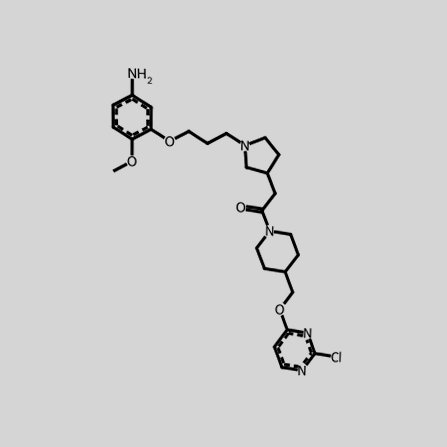 COc1ccc(N)cc1OCCCN1CCC(CC(=O)N2CCC(COc3ccnc(Cl)n3)CC2)C1